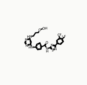 O=C(Nc1nc(-c2ccc(F)c(C(F)(F)F)c2)ns1)c1ccc(Nc2cc(NCCCOO)ncn2)cc1